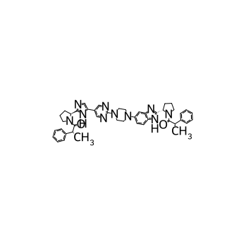 C[C@@H](C(=O)N1CCC[C@H]1c1ncc(-c2cnc(N3CCN(c4ccc5[nH]c([C@@H]6CCCN6C(=O)[C@H](C)c6ccccc6)nc5c4)CC3)nc2)[nH]1)c1ccccc1